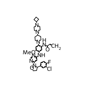 C=CC(=O)Nc1cc(Nc2cc(N3OCCC3c3ccc(F)c(Cl)c3)ncn2)c(OC)cc1N1CCC(N2CCN(C3CCC3)CC2)CC1